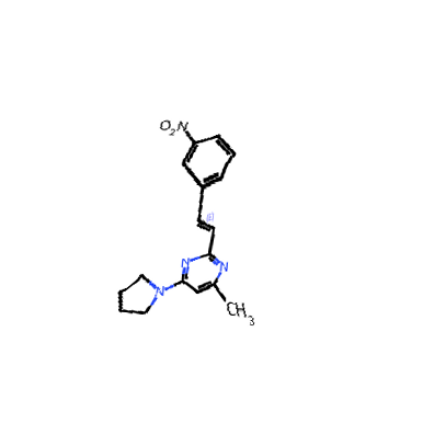 Cc1cc(N2CCCC2)nc(/C=C/c2cccc([N+](=O)[O-])c2)n1